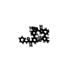 O=C(CC1CCCCC1)Nc1cncc(-c2cc3c(-c4cc5c(-c6cc(O)cc(F)c6)cncc5[nH]4)n[nH]c3cn2)c1